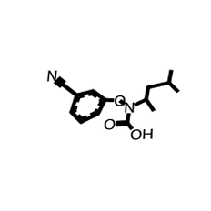 CC(C)CC(C)N(Oc1cccc(C#N)c1)C(=O)O